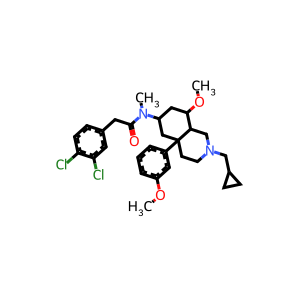 COc1cccc(C23CCN(CC4CC4)CC2C(OC)CC(N(C)C(=O)Cc2ccc(Cl)c(Cl)c2)C3)c1